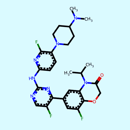 CC(C)N1C(=O)COc2c(F)cc(-c3nc(Nc4ccc(N5CCC(N(C)C)CC5)c(F)n4)ncc3F)cc21